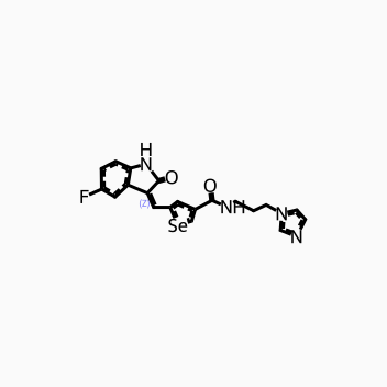 O=C1Nc2ccc(F)cc2/C1=C/c1cc(C(=O)NCCCn2ccnc2)c[se]1